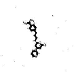 N=C(N)c1ccc(CCCC[C@@H]2C[C@H](c3cccnc3)CC(=O)O2)cc1